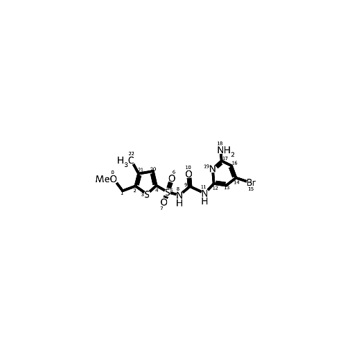 COCc1sc(S(=O)(=O)NC(=O)Nc2cc(Br)cc(N)n2)cc1C